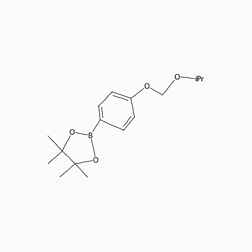 CC(C)OCOc1ccc(B2OC(C)(C)C(C)(C)O2)cc1